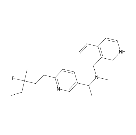 C=CC1=C(CN(C)C(C)c2ccc(CCC(C)(F)CC)nc2)CNC=C1